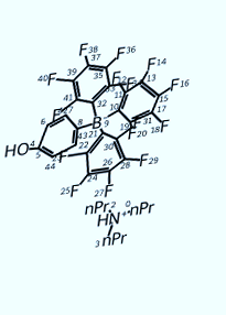 CCC[NH+](CCC)CCC.Oc1ccc([B-](c2c(F)c(F)c(F)c(F)c2F)(c2c(F)c(F)c(F)c(F)c2F)c2c(F)c(F)c(F)c(F)c2F)cc1